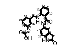 O=C1Cc2cc(NC(=O)c3ccccc3NCc3ccnc(OC(=O)O)c3)ccc2N1